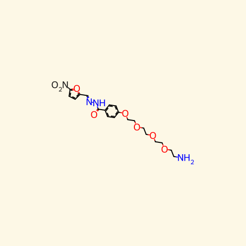 NCCOCCOCCOCCOc1ccc(C(=O)NN=Cc2ccc([N+](=O)[O-])o2)cc1